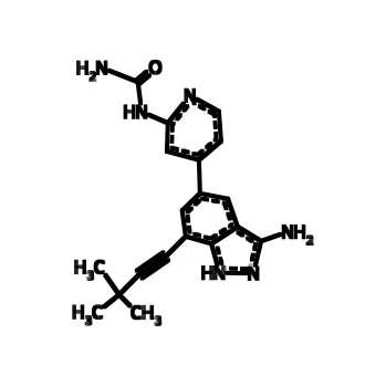 CC(C)(C)C#Cc1cc(-c2ccnc(NC(N)=O)c2)cc2c(N)n[nH]c12